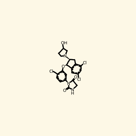 O=C1CNC(=O)N1c1ccc(Cl)c(O[C@H]2c3cc(Cl)cc(Cl)c3C[C@@H]2N2CCC(O)C2)c1